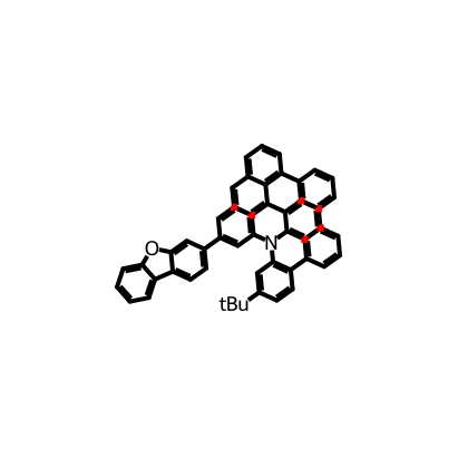 CC(C)(C)c1ccc(-c2ccccc2)c(N(c2cccc(-c3ccc4c(c3)oc3ccccc34)c2)c2ccccc2-c2cccc3cccc(-c4ccccc4)c23)c1